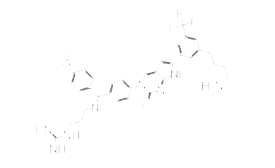 COc1ccc([C@H](NCCCNC(=N)N)c2ccc(-n3cc4cc(-c5cc(CCC[C@H](C)N)cc(C(F)(F)F)c5)[nH]c4nc3=O)cc2)cc1